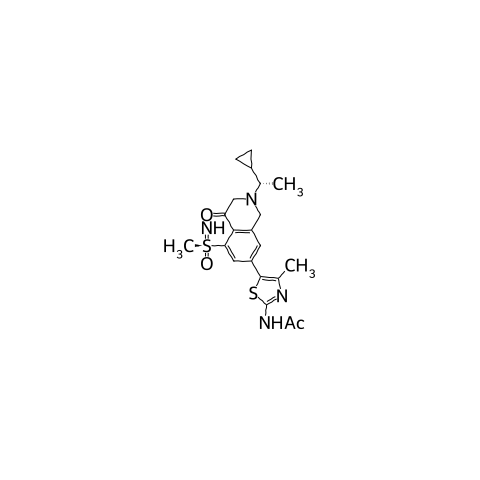 CC(=O)Nc1nc(C)c(-c2cc3c(c([S@@](C)(=N)=O)c2)C(=O)CN([C@@H](C)C2CC2)C3)s1